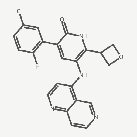 O=c1[nH]c(C2COC2)c(Nc2ccnc3ccncc23)cc1-c1cc(Cl)ccc1F